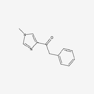 Cn1cnc(C(=O)Cc2ccccc2)c1